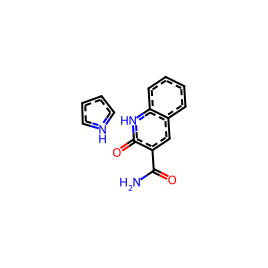 NC(=O)c1cc2ccccc2[nH]c1=O.c1cc[nH]c1